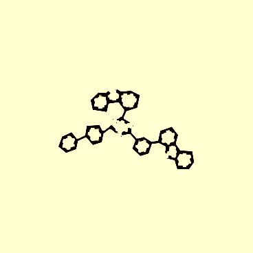 c1ccc(-c2ccc(-c3nc(-c4cccc(-c5cccc6c5sc5ccccc56)c4)nc(-c4cccc5oc6ccccc6c45)n3)cc2)cc1